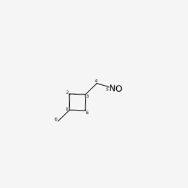 CC1CC(CN=O)C1